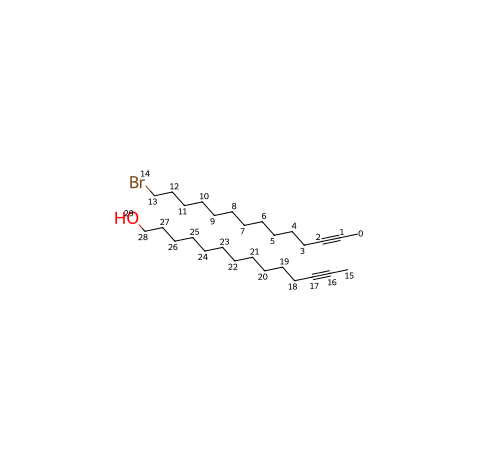 CC#CCCCCCCCCCCCBr.CC#CCCCCCCCCCCCO